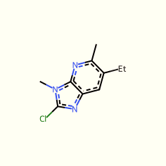 CCc1cc2nc(Cl)n(C)c2nc1C